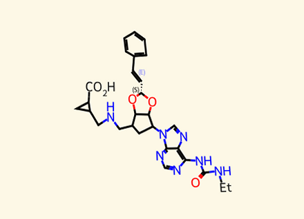 CCNC(=O)Nc1ncnc2c1ncn2C1CC(CNCC2CC2C(=O)O)C2O[C@H](/C=C/c3ccccc3)OC21